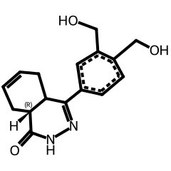 O=C1NN=C(c2ccc(CO)c(CO)c2)C2CC=CC[C@@H]12